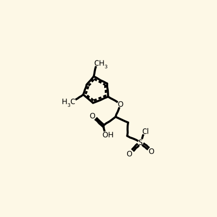 Cc1cc(C)cc(OC(CCS(=O)(=O)Cl)C(=O)O)c1